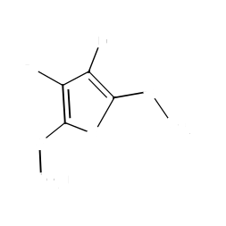 CCc1c(OC(=O)O)oc(OC(=O)O)c1CC